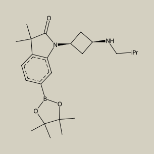 CC(C)CN[C@H]1C[C@@H](N2C(=O)C(C)(C)c3ccc(B4OC(C)(C)C(C)(C)O4)cc32)C1